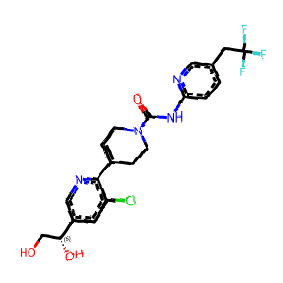 O=C(Nc1ccc(CC(F)(F)F)cn1)N1CC=C(c2ncc([C@H](O)CO)cc2Cl)CC1